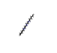 CCCCC/C=C/C/C=C/C/C=C/CCCCC